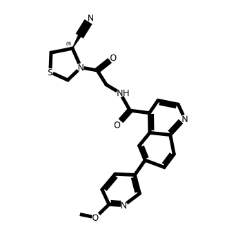 COc1ccc(-c2ccc3nccc(C(=O)NCC(=O)N4CSC[C@H]4C#N)c3c2)cn1